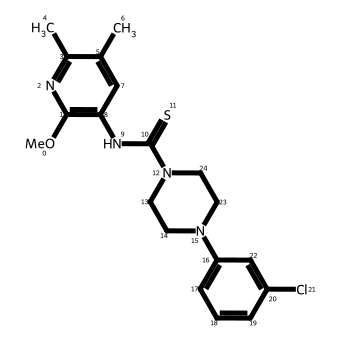 COc1nc(C)c(C)cc1NC(=S)N1CCN(c2cccc(Cl)c2)CC1